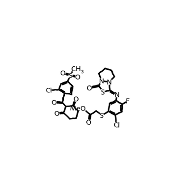 COC(=O)CSc1cc(/N=c2\sc(=O)n3n2CCCC3)c(F)cc1Cl.CS(=O)(=O)c1ccc(C(=O)C2C(=O)CCCC2=O)c(Cl)c1